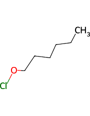 CCCCCCOCl